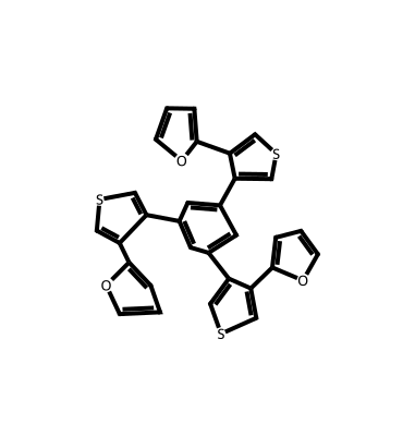 c1coc(-c2cscc2-c2cc(-c3cscc3-c3ccco3)cc(-c3cscc3-c3ccco3)c2)c1